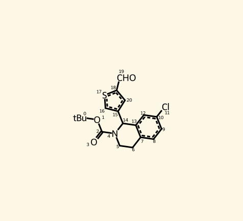 CC(C)(C)OC(=O)N1CCc2ccc(Cl)cc2C1c1csc(C=O)c1